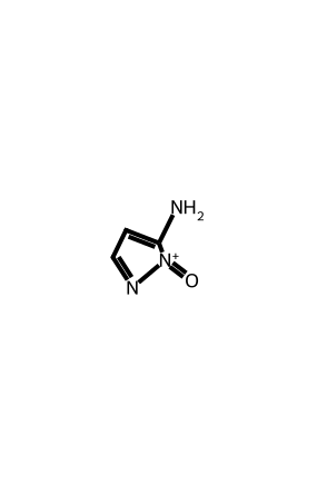 NC1=CC=N[N+]1=O